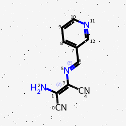 N#C/C(N)=C(C#N)/N=C/c1cccnc1